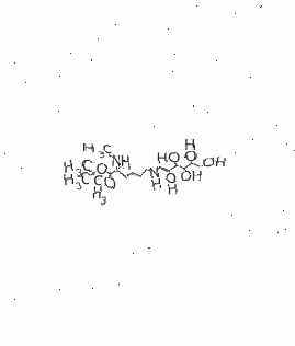 CCNC(CCCCN/C=C(\O)C(O)C(O)C(O)CO)C(=O)OC(C)(C)C